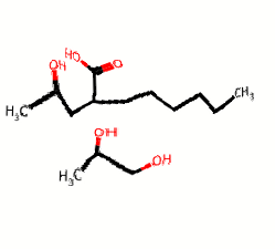 CC(O)CO.CCCCCCC(CC(C)O)C(=O)O